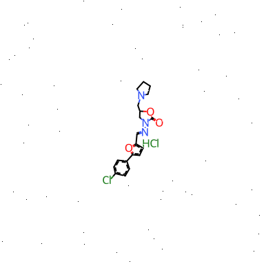 Cl.O=C1OC(CN2CCCC2)CN1/N=C/c1ccc(-c2ccc(Cl)cc2)o1